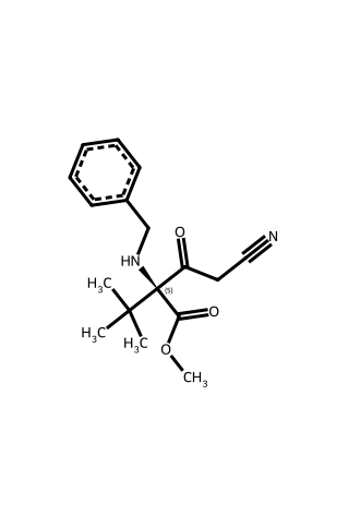 COC(=O)[C@@](NCc1ccccc1)(C(=O)CC#N)C(C)(C)C